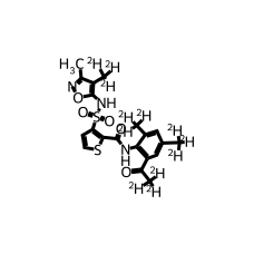 [2H]C([2H])([2H])C(=O)c1cc(C([2H])([2H])[2H])cc(C([2H])([2H])[2H])c1NC(=O)c1sccc1S(=O)(=O)Nc1onc(C)c1C([2H])([2H])[2H]